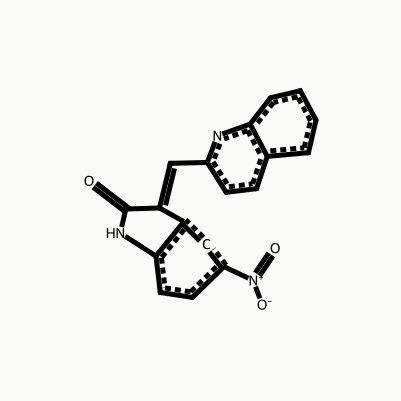 O=C1Nc2ccc([N+](=O)[O-])cc2/C1=C\c1ccc2ccccc2n1